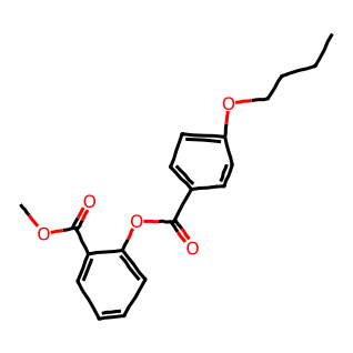 CCCCOc1ccc(C(=O)Oc2ccccc2C(=O)OC)cc1